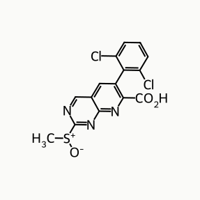 C[S+]([O-])c1ncc2cc(-c3c(Cl)cccc3Cl)c(C(=O)O)nc2n1